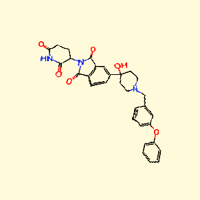 O=C1CCC(N2C(=O)c3ccc(C4(O)CCN(Cc5cccc(Oc6ccccc6)c5)CC4)cc3C2=O)C(=O)N1